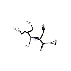 CCC(CC)/C(N)=C(\C#N)C(=O)C1CO1